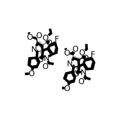 CCOC(=O)[C@@H]1[C@@H](C(=O)OC)N=C(c2ccc(OC)cc2)[C@@]12C(=O)N(C(C)=O)c1ccc(F)cc12.CCOC(=O)[C@H]1[C@H](C(=O)OC)N=C(c2ccc(OC)cc2)[C@]12C(=O)N(C(C)=O)c1ccc(F)cc12